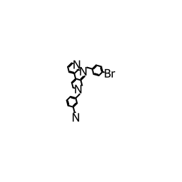 N#Cc1cccc(CN2CC=C3C(=CN(Cc4ccc(Br)cc4)c4ncccc43)C2)c1